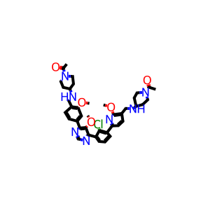 COc1cc(-c2ncnc(-c3cccc(-c4ccc(CNC5CCN(C(C)=O)CC5)c(OC)n4)c3Cl)c2OC)ccc1CNC1CCN(C(C)=O)CC1